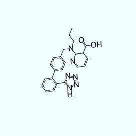 CCCN(Cc1ccc(-c2ccccc2-c2nnn[nH]2)cc1)C1N=CC=CC1C(=O)O